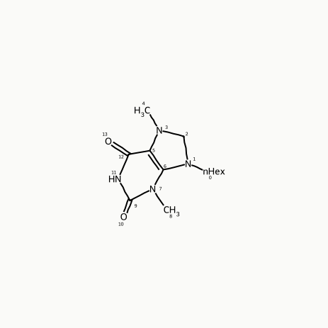 CCCCCCN1CN(C)c2c1n(C)c(=O)[nH]c2=O